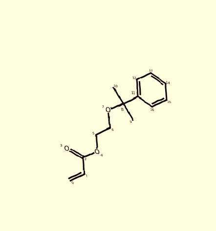 C=CC(=O)OCCOC(C)(C)c1ccccc1